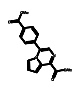 COC(=O)c1ccc(-c2cnc(C(=O)OC)c3cccn23)cc1